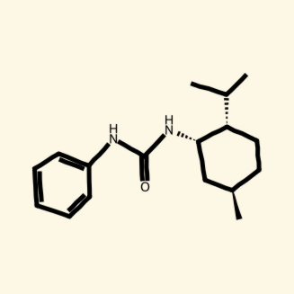 CC(C)[C@@H]1CC[C@@H](C)C[C@@H]1NC(=O)Nc1ccccc1